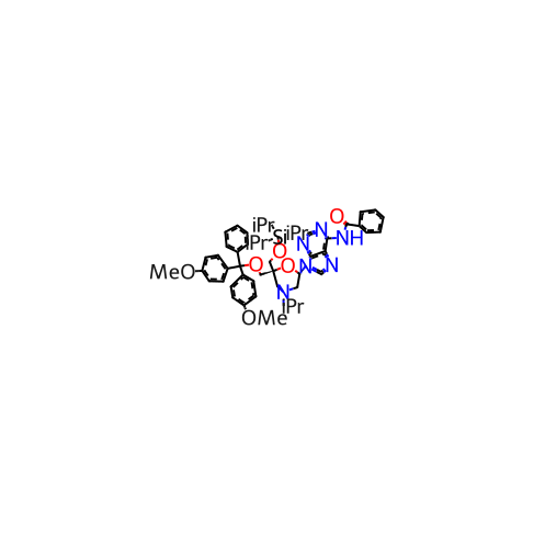 COc1ccc(C(OC[C@]2(CO[Si](C(C)C)(C(C)C)C(C)C)CN(C(C)C)C[C@H](n3cnc4c(NC(=O)c5ccccc5)ncnc43)O2)(c2ccccc2)c2ccc(OC)cc2)cc1